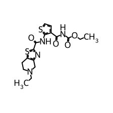 CCOC(=O)NC(=O)c1ccsc1NC(=O)c1nc2c(s1)CCN(CC)C2